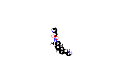 C[C@]12CCC(=NOC(=O)Cc3cccnc3)C=C1CC[C@H]1[C@@H]2CC[C@]2(C)C(c3cccnc3)=CC[C@@H]12